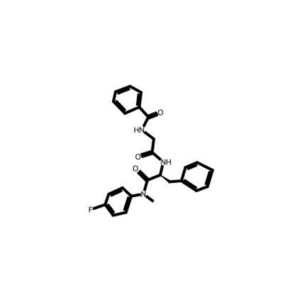 CN(C(=O)[C@H](Cc1ccccc1)NC(=O)CNC(=O)c1ccccc1)c1ccc(F)cc1